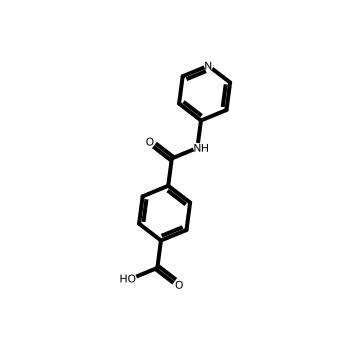 O=C(O)c1ccc(C(=O)Nc2ccncc2)cc1